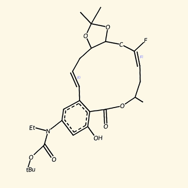 CCN(C(=O)OC(C)(C)C)c1cc(O)c2c(c1)/C=C/CC1OC(C)(C)OC1C/C(F)=C\CC(C)OC2=O